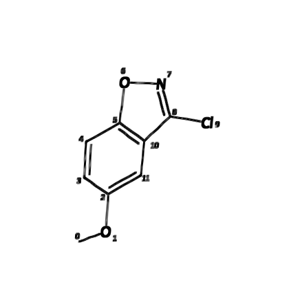 COc1ccc2onc(Cl)c2c1